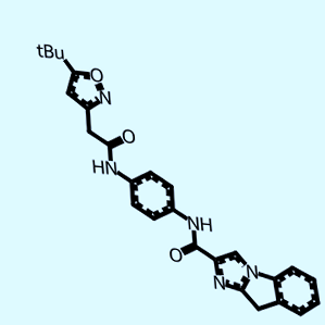 CC(C)(C)c1cc(CC(=O)Nc2ccc(NC(=O)c3cn4c(n3)Cc3ccccc3-4)cc2)no1